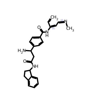 C=C/C(=C\C=N/C)NC(=O)c1ccc(C(N)CC(=O)NC2CCc3ccccc32)cc1